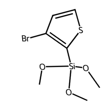 CO[Si](OC)(OC)c1sccc1Br